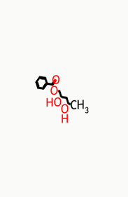 CC(O)CC(O)COC(=O)c1ccccc1